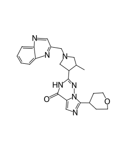 CC1CN(Cc2cnc3ccccc3n2)CC1c1nn2c(C3CCOCC3)ncc2c(=O)[nH]1